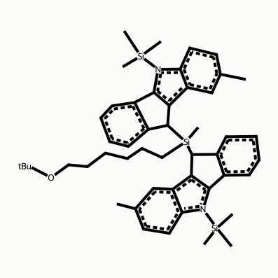 Cc1ccc2c(c1)c1c(n2[Si](C)(C)C)-c2ccccc2C1[Si](C)(CCCCCCOC(C)(C)C)C1c2ccccc2-c2c1c1cc(C)ccc1n2[Si](C)(C)C